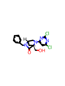 O=C1N(Cc2ccccc2)[C@@H]2CN(c3cc(Cl)nc(Cl)n3)[C@@]1(CO)C2